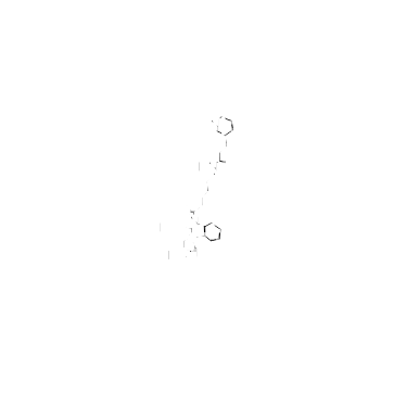 CCS1(CC)c2ccccc2N(C(=O)CCCCCNC(=O)CCc2cccnc2)C1C